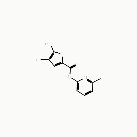 Cc1cccc(NC(=O)c2cc(Cl)c(C(C)C)s2)n1